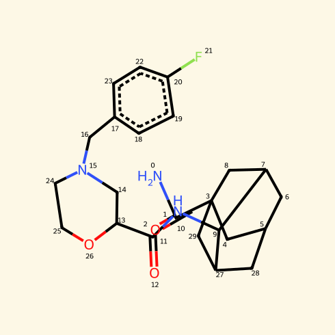 NC(=O)C12CC3CC(C1)C(NC(=O)C1CN(Cc4ccc(F)cc4)CCO1)C(C3)C2